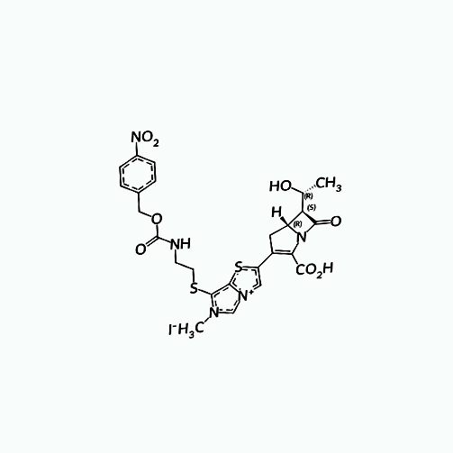 C[C@@H](O)[C@H]1C(=O)N2C(C(=O)O)=C(c3c[n+]4cn(C)c(SCCNC(=O)OCc5ccc([N+](=O)[O-])cc5)c4s3)C[C@H]12.[I-]